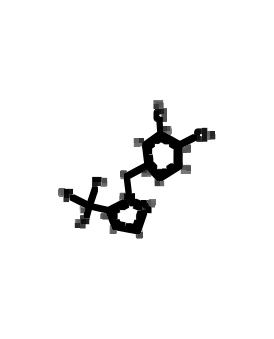 FC(F)(F)c1ccnn1Cc1ccc(Cl)c(Cl)c1